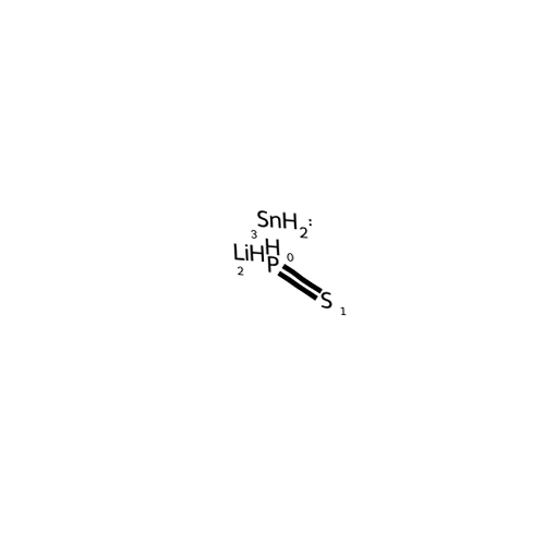 P=S.[LiH].[SnH2]